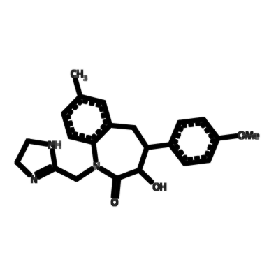 COc1ccc(C2Cc3cc(C)ccc3N(CC3=NCCN3)C(=O)C2O)cc1